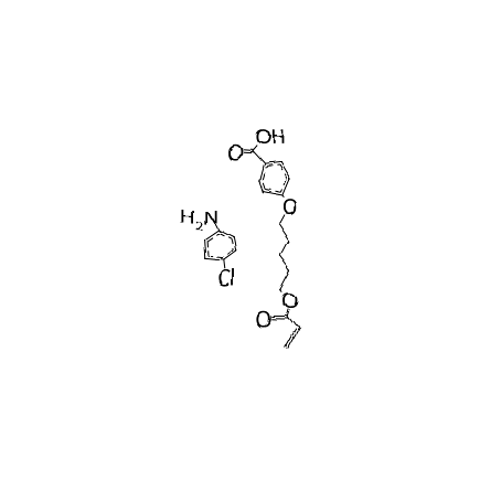 C=CC(=O)OCCCCCOc1ccc(C(=O)O)cc1.Nc1ccc(Cl)cc1